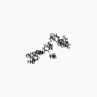 CN(CCCn1nnc2cc(CNC[C@H](O)c3ccc(O)c4c3OCC(=O)N4)ccc21)[C@H]1CC[C@H](OC(=O)[C@](O)(c2cccs2)C2CCCC2)CC1.F.F